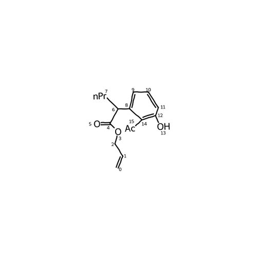 C=CCOC(=O)C(CCC)c1cccc(O)c1C(C)=O